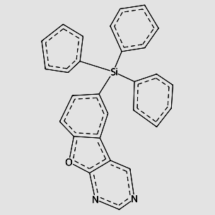 c1ccc([Si](c2ccccc2)(c2ccccc2)c2ccc3oc4ncncc4c3c2)cc1